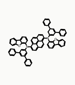 C1=C(c2ccccc2)C=C(N(c2ccc3ccc4c(N(c5cc(-c6ccccc6)cc(-c6ccccc6)c5)c5cccc6c5oc5ccccc56)ccc5ccc2c3c54)c2cccc3c2oc2ccccc23)CC1c1ccccc1